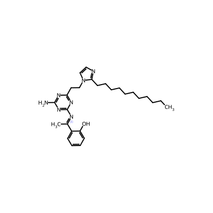 CCCCCCCCCCCc1nccn1CCc1nc(N)nc(/N=C(\C)c2ccccc2O)n1